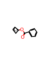 O=C(OC12CC(C1)C2)c1ccccc1